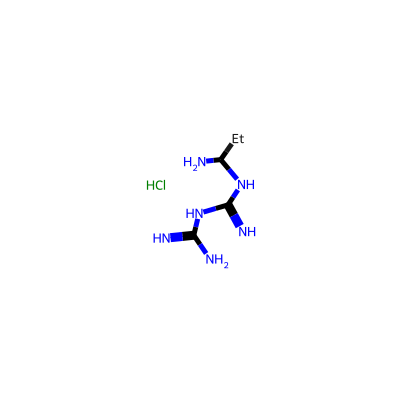 CCC(N)NC(=N)NC(=N)N.Cl